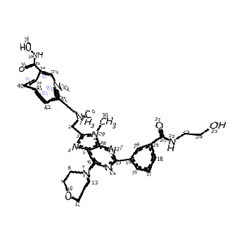 CN(Cc1nc2c(N3CCOCC3)nc(-c3cccc(C(=O)NCCO)c3)nc2n1C)C1=N/C=C(C(=O)NO)\C=C\C=C\1